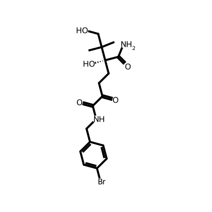 CC(C)(CO)[C@](O)(CCC(=O)C(=O)NCc1ccc(Br)cc1)C(N)=O